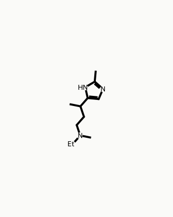 CCN(C)CCC(C)c1cnc(C)[nH]1